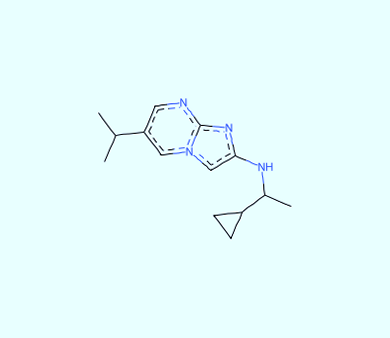 CC(C)c1cnc2nc(NC(C)C3CC3)cn2c1